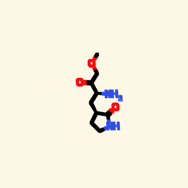 COCC(=O)[C@@H](N)C[C@@H]1CCNC1=O